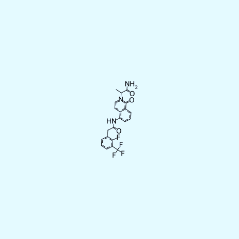 CC(C(N)=O)n1ccc2c(NC(=O)Cc3cccc(C(F)(F)F)c3F)cccc2c1=O